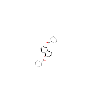 O=C(Oc1cccc2c(OC(=O)C3CCCCC3)cccc12)C1CCCCC1